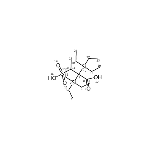 CC[Si](CC)(CC)C(C(=O)O)(C(C)S(=O)(=O)O)[Si](CC)(CC)CC